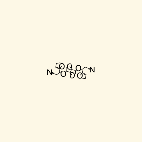 N#CCC(OC1COC2C(OC(CC#N)C3=CCCO3)COC12)C1=CCCO1